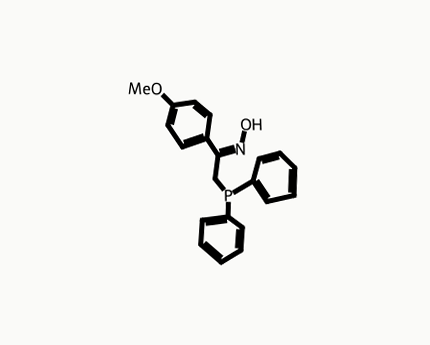 COc1ccc(C(CP(c2ccccc2)c2ccccc2)=NO)cc1